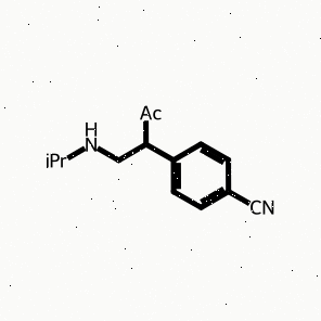 CC(=O)C(CNC(C)C)c1ccc(C#N)cc1